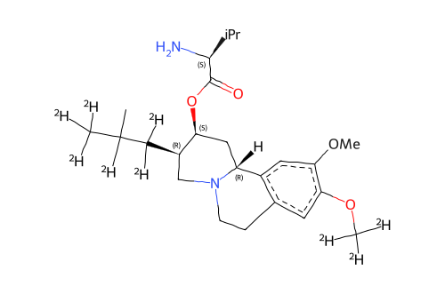 [2H]C([2H])([2H])Oc1cc2c(cc1OC)[C@H]1C[C@H](OC(=O)[C@@H](N)C(C)C)[C@H](C([2H])([2H])C([2H])(C)C([2H])([2H])[2H])CN1CC2